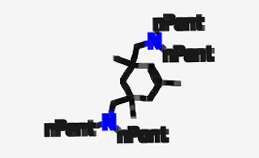 CCCCCN(CCCCC)CC1(C)C=C(C)CC(C)(CN(CCCCC)CCCCC)C1